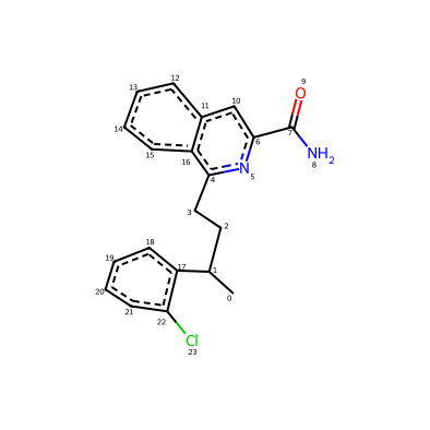 CC(CCc1nc(C(N)=O)cc2ccccc12)c1ccccc1Cl